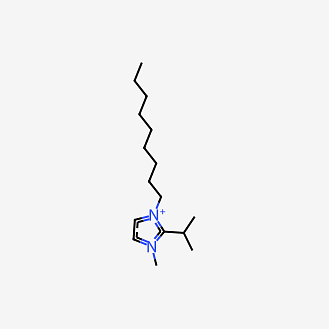 CCCCCCCCC[n+]1ccn(C)c1C(C)C